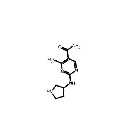 NC(=O)c1cnc(NC2CCNC2)nc1N